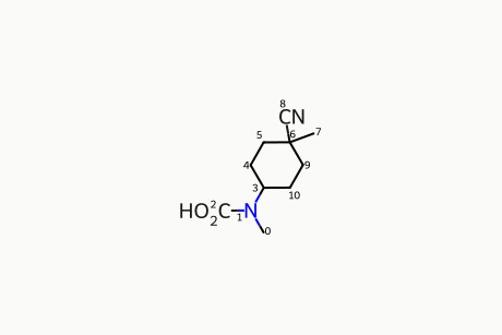 CN(C(=O)O)C1CCC(C)(C#N)CC1